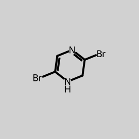 BrC1=CN=C(Br)CN1